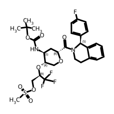 CC(C)(C)OC(=O)N[C@H]1C[C@H](C(=O)N2CCc3ccccc3[C@@H]2c2ccc(F)cc2)OC[C@@H]1O[C@H](COS(C)(=O)=O)C(F)(F)F